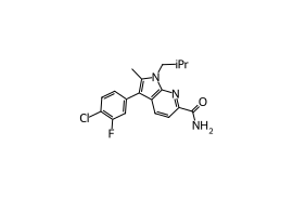 Cc1c(-c2ccc(Cl)c(F)c2)c2ccc(C(N)=O)nc2n1CC(C)C